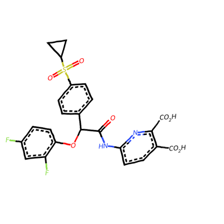 O=C(O)c1ccc(NC(=O)C(Oc2ccc(F)cc2F)c2ccc(S(=O)(=O)C3CC3)cc2)nc1C(=O)O